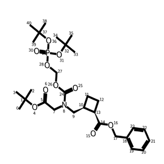 CC(C)(C)OC(=O)CN(C[C@H]1CC[C@H]1C(=O)OCc1ccccc1)C(=O)OCOP(=O)(OC(C)(C)C)OC(C)(C)C